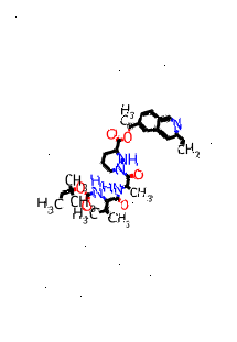 C=Cc1cc2cc([C@@H](C)OC(=O)C3CCCN(C(=O)C(C)NC(=O)C(NC(=O)OC(C)(C)CC)C(C)C)N3)ccc2cn1